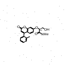 CNC(=O)[C@H](CO)Oc1ccc2c(-c3ccccc3C)cc(=O)oc2c1